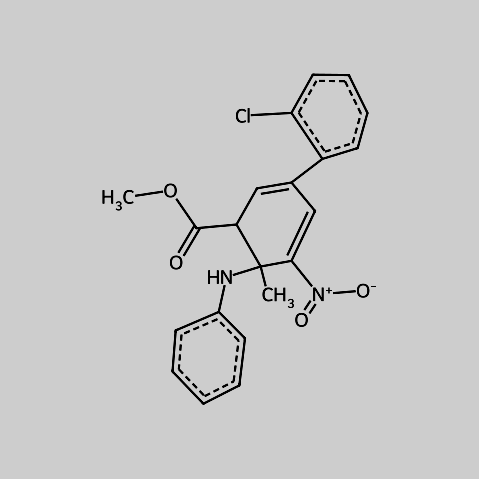 COC(=O)C1C=C(c2ccccc2Cl)C=C([N+](=O)[O-])C1(C)Nc1ccccc1